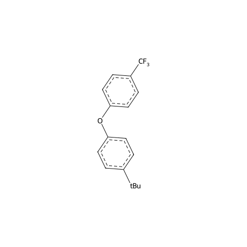 CC(C)(C)c1ccc(Oc2ccc(C(F)(F)F)cc2)cc1